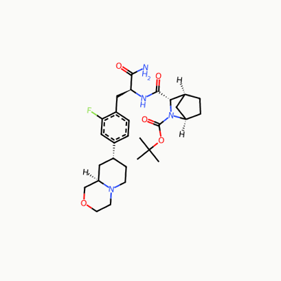 CC(C)(C)OC(=O)N1[C@@H]2CC[C@@H](C2)[C@H]1C(=O)N[C@@H](Cc1ccc([C@@H]2CCN3CCOC[C@H]3C2)cc1F)C(N)=O